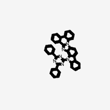 c1ccc(-c2nc(-c3ccccc3)nc(-n3c4ccccc4c4ccc5c(nc6c7ccccc7c7ccccc7n56)c43)n2)cc1